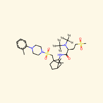 [2H]C([2H])([2H])N([C@@H](CCS(C)(=O)=O)C(=O)NC1CC2CCC1(CS(=O)(=O)N1CCN(c3ccccc3C)CC1)C2(C)C)C([2H])([2H])[2H]